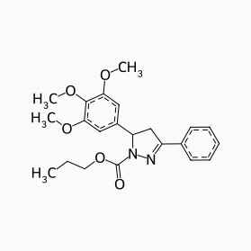 CCCOC(=O)N1N=C(c2ccccc2)CC1c1cc(OC)c(OC)c(OC)c1